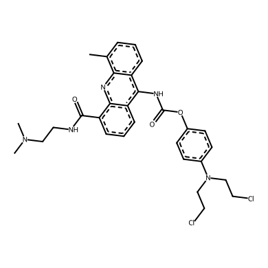 Cc1cccc2c(NC(=O)Oc3ccc(N(CCCl)CCCl)cc3)c3cccc(C(=O)NCCN(C)C)c3nc12